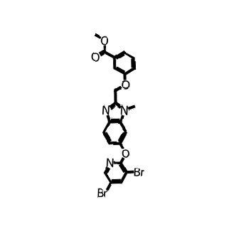 COC(=O)c1cccc(OCc2nc3ccc(Oc4ncc(Br)cc4Br)cc3n2C)c1